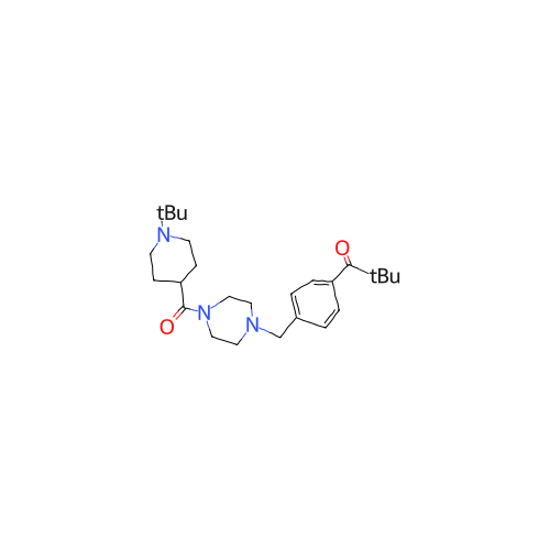 CC(C)(C)C(=O)c1ccc(CN2CCN(C(=O)C3CCN(C(C)(C)C)CC3)CC2)cc1